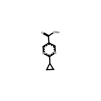 COC(=O)c1cnc(C2[CH]C2)nc1